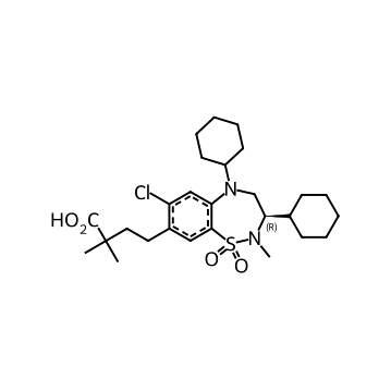 CN1[C@H](C2CCCCC2)CN(C2CCCCC2)c2cc(Cl)c(CCC(C)(C)C(=O)O)cc2S1(=O)=O